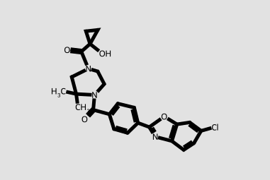 CC1(C)CN(C(=O)C2(O)CC2)CCN1C(=O)c1ccc(-c2nc3ccc(Cl)cc3o2)cc1